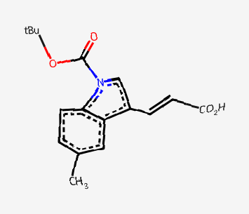 Cc1ccc2c(c1)c(C=CC(=O)O)cn2C(=O)OC(C)(C)C